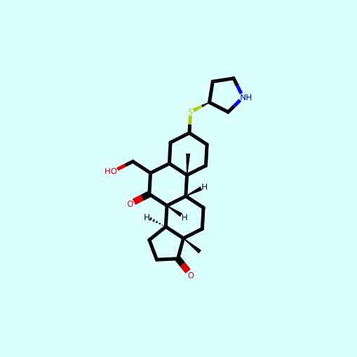 C[C@]12CCC(S[C@H]3CCNC3)CC1C(CO)C(=O)[C@@H]1[C@H]2CC[C@]2(C)C(=O)CC[C@@H]12